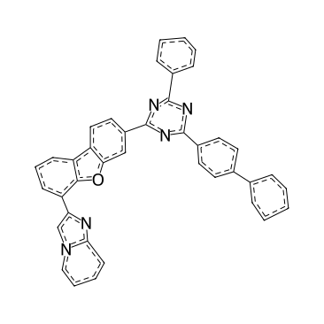 c1ccc(-c2ccc(-c3nc(-c4ccccc4)nc(-c4ccc5c(c4)oc4c(-c6cn7ccccc7n6)cccc45)n3)cc2)cc1